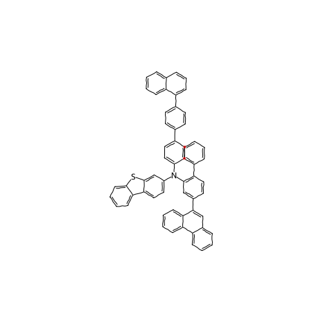 c1ccc(-c2ccc(-c3cc4ccccc4c4ccccc34)cc2N(c2ccc(-c3ccc(-c4cccc5ccccc45)cc3)cc2)c2ccc3c(c2)sc2ccccc23)cc1